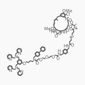 COc1cc2cc(c1Cl)N(C)C(=O)C[C@@H](OC(=O)[C@@H](C)N(C)C(=O)CCSSCCC(=O)NCc1ccc(CNC(=O)COCCOCCOCC(=O)N(CCCCOc3cc(CN(Cc4ccccn4)Cc4ccccn4)cc(CN(Cc4ccccn4)Cc4ccccn4)c3)Cc3ccc(-c4ccccc4)cc3)cc1)[C@@]1(C)O[C@@H]1[C@@H](C)[C@H]1C[C@](O)(NC(=O)O1)C(OC)/C=C/C=C(\C)C2